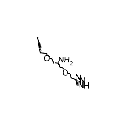 CC#CCCOCCC(N)CCOCCc1c[nH]nn1